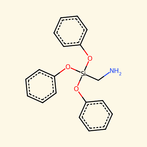 NC[Si](Oc1ccccc1)(Oc1ccccc1)Oc1ccccc1